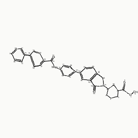 COC(=O)C1CCCC(N2Cc3ccc(-c4ccc(NC(=O)c5ccc(-c6ccccc6)cc5)cc4)cc3C2=O)C1